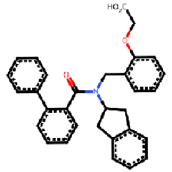 O=C(O)COc1ccccc1CN(C(=O)c1ccccc1-c1ccccc1)C1Cc2ccccc2C1